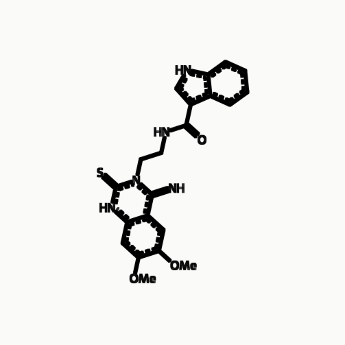 COc1cc2[nH]c(=S)n(CCNC(=O)c3c[nH]c4ccccc34)c(=N)c2cc1OC